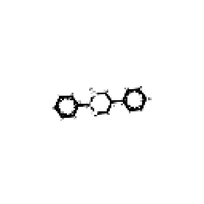 c1ccc(B2OCC(c3ccccc3)CO2)cc1